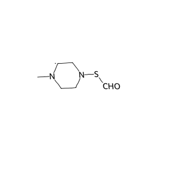 CN1[CH]CN(SC=O)CC1